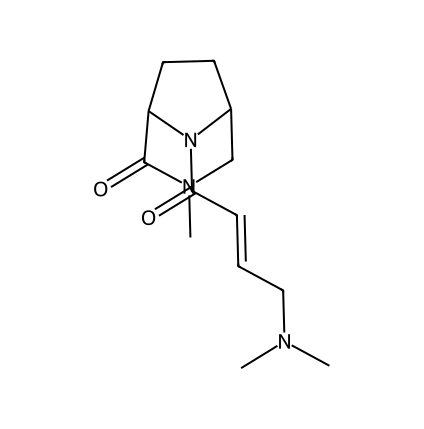 CN(C)C/C=C/C(=O)N1C2CCC1C(=O)N(C)C2